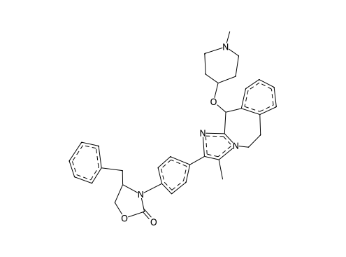 Cc1c(-c2ccc(N3C(=O)OCC3Cc3ccccc3)cc2)nc2n1CCc1ccccc1C2OC1CCN(C)CC1